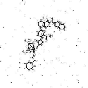 Cc1c(Nc2nc3ccccc3s2)nnc2c1CCCN2c1ccc(-c2cnn(C[C@]34C[C@]5(C)C[C@](C)(C3)C[C@@](OCCN3CCCCCC3)(C5)C4)c2C)c(C(=O)O)n1